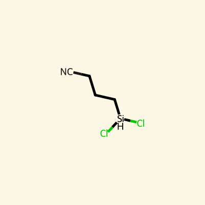 N#CCCC[SiH](Cl)Cl